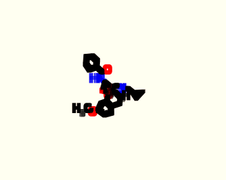 COc1ccc2c(c1)[C@]13CCN(CC4CC4)[C@H](C2)[C@]12CCC(NC(=O)c1ccccc1)(CO2)C3